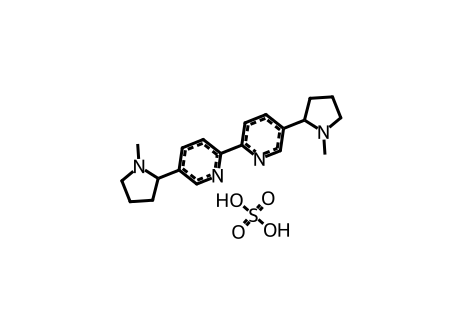 CN1CCCC1c1ccc(-c2ccc(C3CCCN3C)cn2)nc1.O=S(=O)(O)O